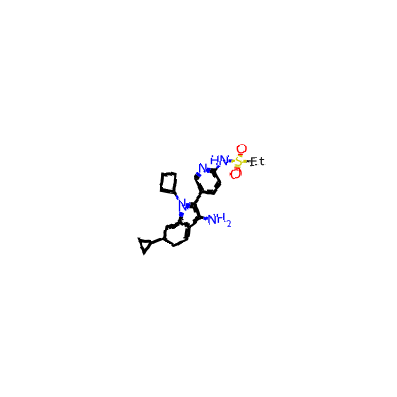 CCS(=O)(=O)Nc1ccc(-c2c(N)c3c(n2C2CCC2)=CC(C2CC2)CC=3)cn1